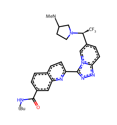 CNC1CCN([C@H](c2ccc3nnc(-c4ccc5ccc(C(=O)NC(C)(C)C)cc5n4)n3c2)C(F)(F)F)C1